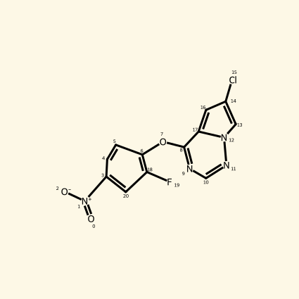 O=[N+]([O-])c1ccc(Oc2ncnn3cc(Cl)cc23)c(F)c1